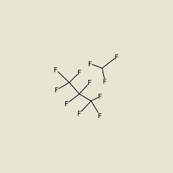 FC(F)(F)C(F)(F)C(F)(F)F.FC(F)F